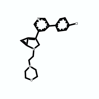 Clc1ccc(-c2cncc(C3=C4C=C4N(CCN4CCOCC4)C3)c2)cc1